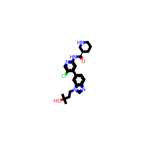 CC(C)(O)CCn1cnc2ccc(-c3cc(NC(=O)[C@@H]4CCCNC4)ncc3Cl)cc21